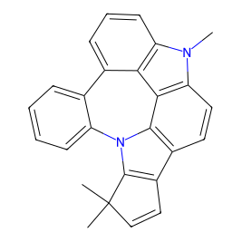 Cn1c2cccc3c4ccccc4n4c5c(c6ccc1c(c32)c64)C=CC5(C)C